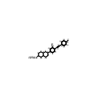 CCCCCCC1CCC2CC(c3ccc(C#Cc4ccc(C)cc4)c(F)c3)CCC2C1